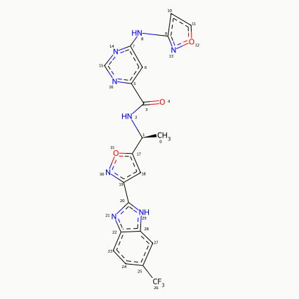 C[C@H](NC(=O)c1cc(Nc2ccon2)ncn1)c1cc(-c2nc3ccc(C(F)(F)F)cc3[nH]2)no1